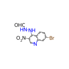 O=CNNc1c([N+](=O)[O-])cnc2cc(Br)ccc12